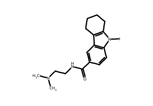 CN(C)CCNC(=O)c1ccc2c(c1)c1c(n2I)CCCC1